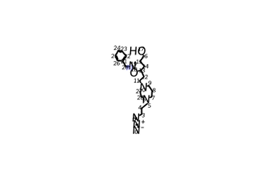 [N-]=[N+]=NCCCN1CCCN(CCC(CCCO)O/N=C/c2ccccc2)CC1